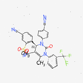 CC1=C(C#N)[C@@H](c2ccc(C#N)cc2S(C)(=O)=O)N(c2ccc(C#N)cc2)C(=O)N1c1cccc(C(F)(F)F)c1